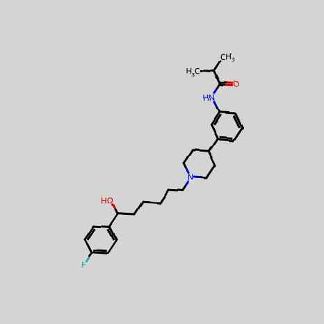 CC(C)C(=O)Nc1cccc(C2CCN(CCCCCC(O)c3ccc(F)cc3)CC2)c1